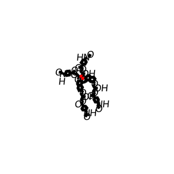 O=CNc1ccc(C(=O)OCC(O)COc2ccc3ccc(OCC(O)COC(=O)c4ccc(NC=O)cc4)c(Cc4c(OCC(O)COC(=O)c5ccc(NC=O)cc5)ccc5ccc(OCC(O)COC(=O)c6ccc(NC=O)cc6)cc45)c3c2)cc1